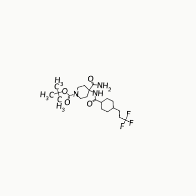 CC(C)(C)OC(=O)N1CCC(NC(=O)C2CCC(CCC(F)(F)F)CC2)(C(N)=O)CC1